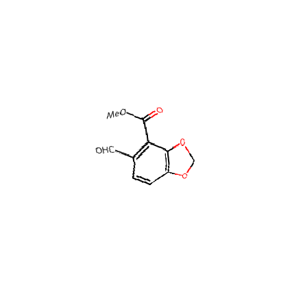 COC(=O)c1c(C=O)ccc2c1OCO2